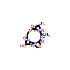 C[C@@H]1C[C@H]2C(=O)OCCC(=O)N3C[C@H](O)C[C@H]3C(=O)N3CCOC[C@H]3C(=O)N[C@@H](C)C(=O)N2C1